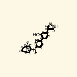 CN(c1ccc(-c2ccc(-c3cn[nH]c3)cc2O)nn1)[C@H]1CC2CC[C@](C)(C1)N2